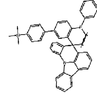 C[Si](C)(C)c1ccc(-c2ccc3c(c2)C2(c4ccccc4-n4c5ccccc5c5cccc2c54)c2ccccc2P3c2ccccc2)cc1